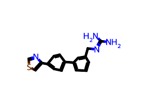 NC(N)=NCc1cccc(-c2ccc(-c3cscn3)cc2)c1